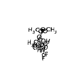 CCOP(=O)(CCCOCCC1(C)C(=O)c2c(O)c(=O)c(C(=O)NCc3ccc(F)cc3F)cn2CC1OC)OCC